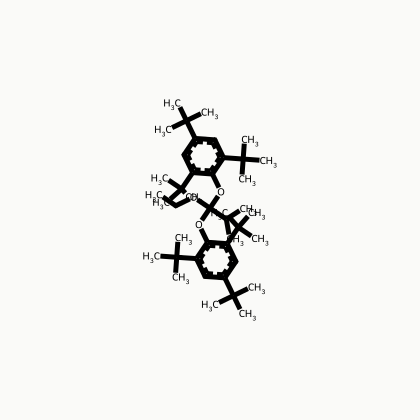 CCOC(Oc1c(C(C)(C)C)cc(C(C)(C)C)cc1C(C)(C)C)(Oc1c(C(C)(C)C)cc(C(C)(C)C)cc1C(C)(C)C)C(C)C